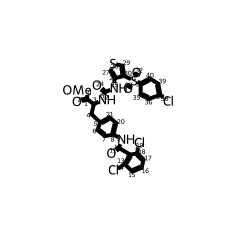 COC(=O)C(Cc1ccc(NC(=O)c2c(Cl)cccc2Cl)cc1)NC(=O)Nc1cscc1S(=O)(=O)c1ccc(Cl)cc1